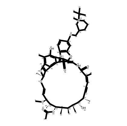 CO[C@H]1/C=C/O[C@@]2(C)Oc3c(C)c(O)c4c(=O)c(c5oc6cc(OCC7CCC[N+](C)(C(C)(C)C)C7)ccc6nc-5c4c3C2=O)NC(=O)/C(C)=C\C=C\[C@H](C)[C@H](O)[C@@H](C)[C@@H](C)[C@@H](C)[C@H](OC(C)=O)[C@@H]1C